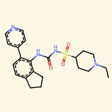 CCN1CCC(S(=O)(=O)NC(=O)Nc2c(-c3ccncc3)ccc3c2CCC3)CC1